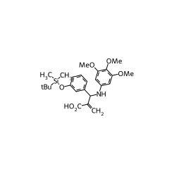 C=C(C(=O)O)C(Nc1cc(OC)c(OC)c(OC)c1)c1cccc(O[Si](C)(C)C(C)(C)C)c1